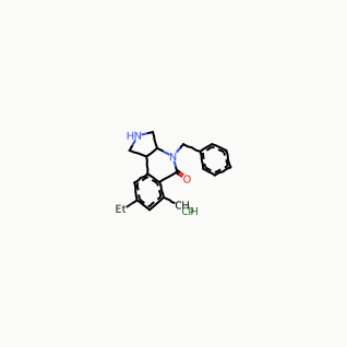 CCc1cc(C)c2c(c1)C1CNCC1N(Cc1ccccc1)C2=O.Cl